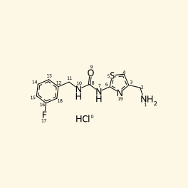 Cl.NCc1csc(NC(=O)NCc2cccc(F)c2)n1